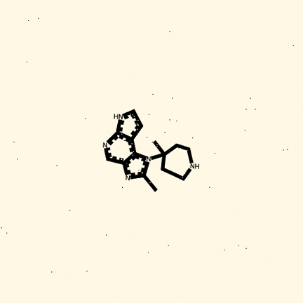 Cc1nc2cnc3[nH]ccc3c2n1C1(C)CCNCC1